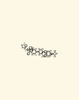 O=C(NC[C@H]1CCCO1)c1ccc(-c2ccc3c(c2)COC2(CCN(C4CCC4)CC2)O3)cc1Cl